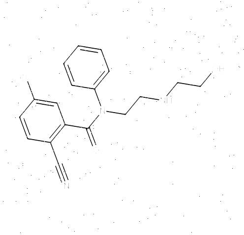 N#Cc1ccc(Cl)cc1C(=O)N(CCNCCO)c1ccccc1